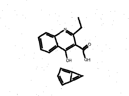 CCc1nc2ccccc2c(O)c1C(=O)O.c1cc2cc-2c1